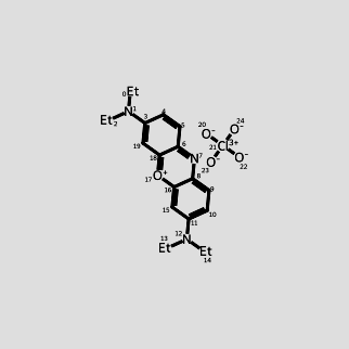 CCN(CC)c1ccc2nc3ccc(N(CC)CC)cc3[o+]c2c1.[O-][Cl+3]([O-])([O-])[O-]